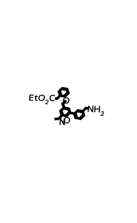 CCOC(=O)Cc1ccccc1OCc1cc(-c2cccc(CN)c2)c2onc(C)c2c1